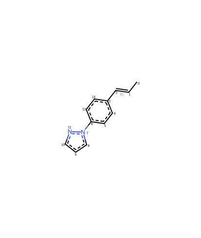 C/C=C/c1ccc(-n2cccn2)cc1